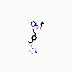 C=CNN(/C=N\C)c1nc(-c2ccc3cc(C(=O)NC4(C(=O)NC5(C#N)CC5)CCC(F)(F)CC4)oc3c2)c(C)s1